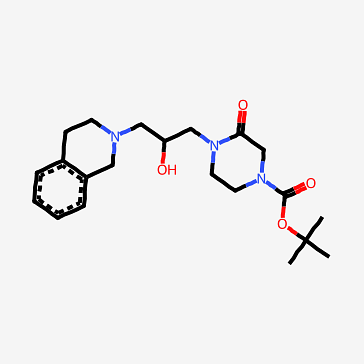 CC(C)(C)OC(=O)N1CCN(CC(O)CN2CCc3ccccc3C2)C(=O)C1